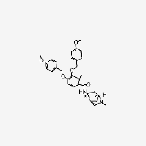 COc1ccc(COc2ccc(C(=O)N[C@@H]3C[C@@H]4CC3=CN4C)c(C)c2OCc2ccc(OC)cc2)cc1